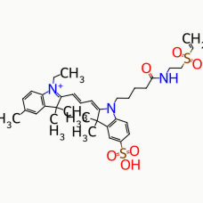 C=CS(=O)(=O)CCNC(=O)CCCCN1/C(=C/C=C/C2=[N+](CC)c3ccc(C)cc3C2(C)C)C(C)(C)c2cc(S(=O)(=O)O)ccc21